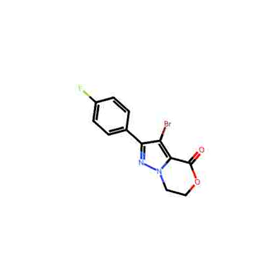 O=C1OCCn2nc(-c3ccc(F)cc3)c(Br)c21